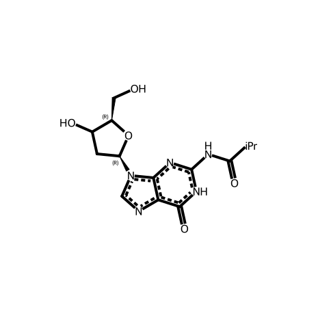 CC(C)C(=O)Nc1nc2c(ncn2[C@H]2CC(O)[C@@H](CO)O2)c(=O)[nH]1